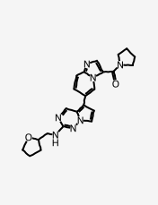 O=C(c1cnc2ccc(-c3ccn4nc(NCC5CCCO5)ncc34)cn12)N1CCCC1